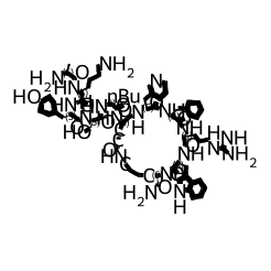 CCCC[C@H](NC(=O)[C@H](CO)NC(=O)[C@H](Cc1ccc(O)cc1)NC(=O)[C@H](CCCCN)NC(=O)[C@H](C)N)C(=O)N[C@H]1CCC(=O)NCCCC[C@@H](C(N)=O)NC(=O)[C@H](Cc2c[nH]c3ccccc23)NC(=O)[C@H](CCCNC(=N)N)NC(=O)[C@@H](Cc2ccccc2)NC(=O)[C@H](Cc2cccnc2)NC1=O